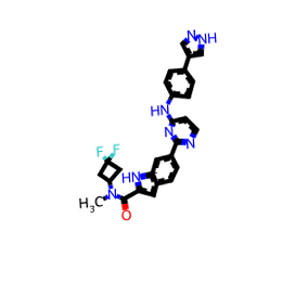 CN(C(=O)c1cc2ccc(-c3nccc(Nc4ccc(-c5cn[nH]c5)cc4)n3)cc2[nH]1)C1CC(F)(F)C1